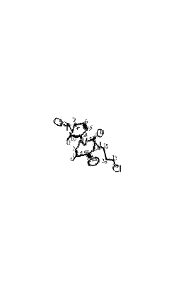 Cc1cn(-c2ccc[n+]([O-])c2C)c(=O)n(CCCCl)c1=O